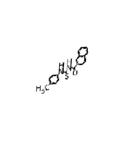 Cc1ccc(NC(=S)NC(=O)c2ccc3ccccc3c2)cc1